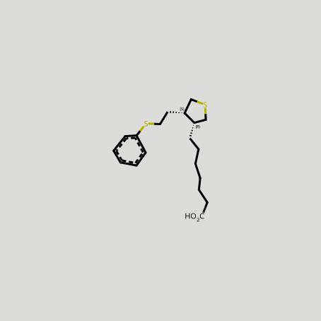 O=C(O)CCCCCC[C@H]1CSC[C@H]1CCSc1ccccc1